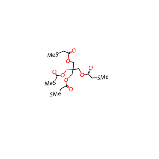 CSCC(=O)OCC(COC(=O)CSC)(COC(=O)CSC)COC(=O)SC